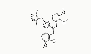 COc1cccc(CN(Cc2cccc(OC)c2OC)c2ccn(Cc3c(C)noc3C)n2)c1OC